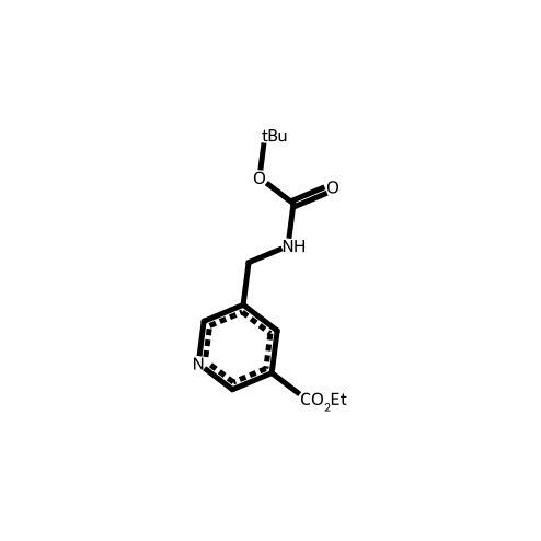 CCOC(=O)c1cncc(CNC(=O)OC(C)(C)C)c1